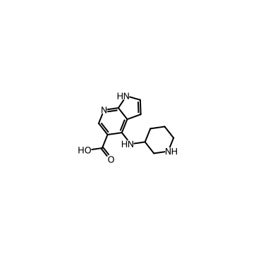 O=C(O)c1cnc2[nH]ccc2c1NC1CCCNC1